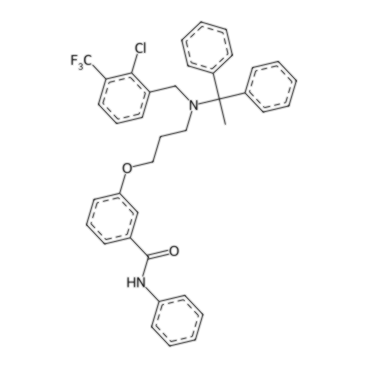 CC(c1ccccc1)(c1ccccc1)N(CCCOc1cccc(C(=O)Nc2ccccc2)c1)Cc1cccc(C(F)(F)F)c1Cl